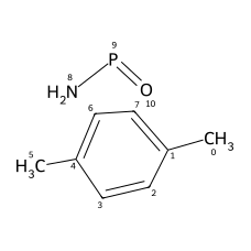 Cc1ccc(C)cc1.NP=O